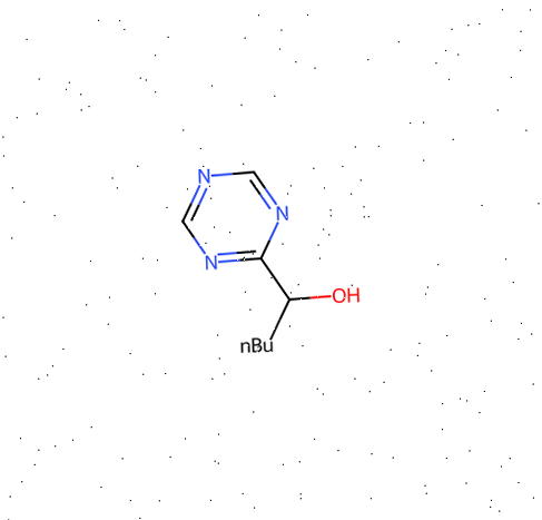 CCCCC(O)c1ncncn1